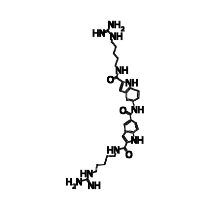 N=C(N)NCCCCCNC(=O)c1cc2cc(NC(=O)c3ccc4[nH]c(C(=O)NCCCCCNC(=N)N)cc4c3)ccc2[nH]1